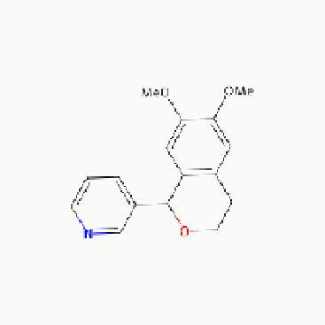 COc1cc2c(cc1OC)C(c1cccnc1)OCC2